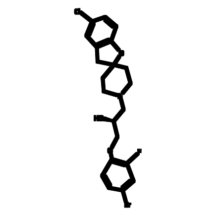 O[C@H](COc1ccc(Br)cc1F)CN1CCC2(CC1)Cc1cc(Cl)ccc1O2